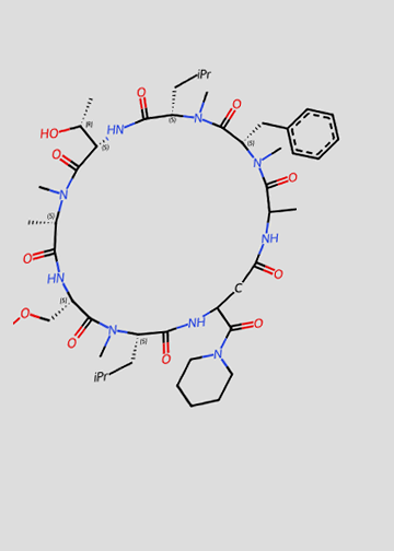 CC(C)C[C@H]1C(=O)NC(C(=O)N2CCCCC2)CC(=O)NC(C)C(=O)N(C)[C@@H](Cc2ccccc2)C(=O)N(C)[C@@H](CC(C)C)C(=O)N[C@@H]([C@@H](C)O)C(=O)N(C)[C@@H](C)C(=O)N[C@@H](COC(C)(C)C)C(=O)N1C